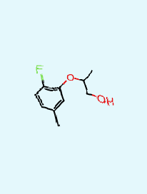 Cc1ccc(F)c(OC(C)CO)c1